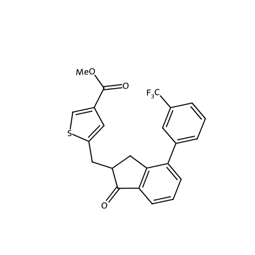 COC(=O)c1csc(CC2Cc3c(cccc3-c3cccc(C(F)(F)F)c3)C2=O)c1